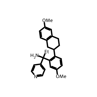 CCC(N)(c1ccncc1)c1cc(OC)ccc1C1CCc2cc(OC)ccc2C1